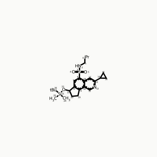 CC(C)CNS(=O)(=O)c1cc2c(c3cnc(C4CC4)cc13)CCC2O[Si](C)(C)C(C)(C)C